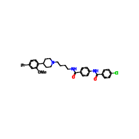 COc1cc(C(C)C)ccc1C1CCN(CCCCNC(=O)c2ccc(NC(=O)c3ccc(Cl)cc3)cc2)CC1